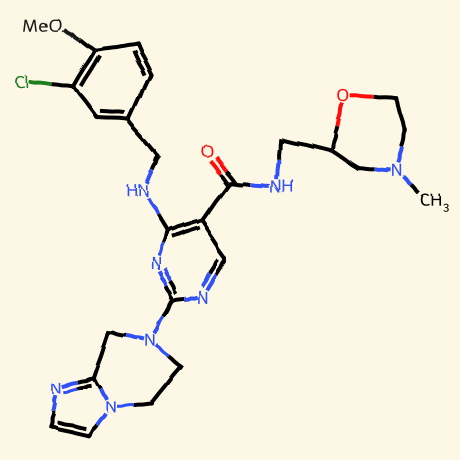 COc1ccc(CNc2nc(N3CCn4ccnc4C3)ncc2C(=O)NCC2CN(C)CCO2)cc1Cl